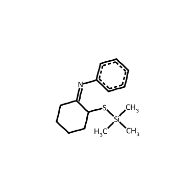 C[Si](C)(C)SC1CCCCC1=Nc1ccccc1